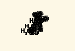 Cc1ccc(C2(O)O[C@H](COCc3ccccc3)[C@@H](OCc3ccccc3)[C@H](OCc3ccccc3)[C@H]2OCc2ccccc2)cc1Cc1ccc(O[Si](C)(C)C(C)(C)C)cc1